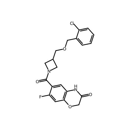 O=C1COc2cc(F)c(C(=O)N3CC(COCc4ccccc4Cl)C3)cc2N1